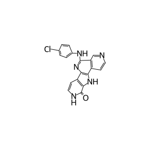 O=c1[nH]ccc2c1[nH]c1c3ccncc3c(Nc3ccc(Cl)cc3)nc21